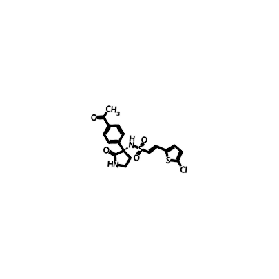 CC(=O)c1ccc([C@@]2(NS(=O)(=O)/C=C/c3ccc(Cl)s3)CCNC2=O)cc1